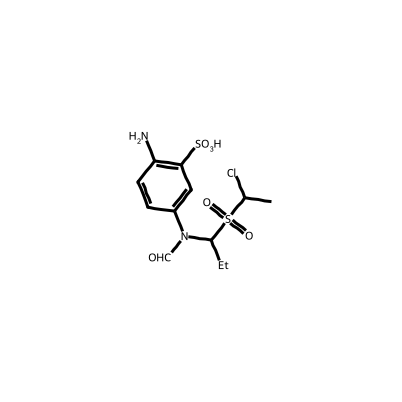 CCC(N(C=O)c1ccc(N)c(S(=O)(=O)O)c1)S(=O)(=O)C(C)Cl